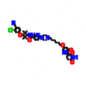 CC1(C)C(NC(=O)c2ccc(N3CCN(CCCCCCOc4cnn([C@@H]5CCC(=O)NC5=O)c(=O)c4)CC3)nc2)C(C)(C)C1Oc1ccc(C#N)c(Cl)c1